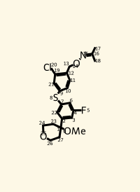 COC1(c2cc(F)cc(Sc3ccc(CON=C(C)C)c(Cl)c3)c2)CCOCC1